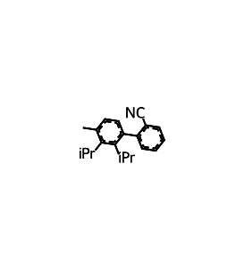 Cc1ccc(-c2ccccc2C#N)c(C(C)C)c1C(C)C